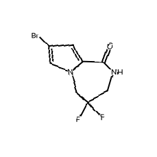 O=C1NCC(F)(F)Cn2cc(Br)cc21